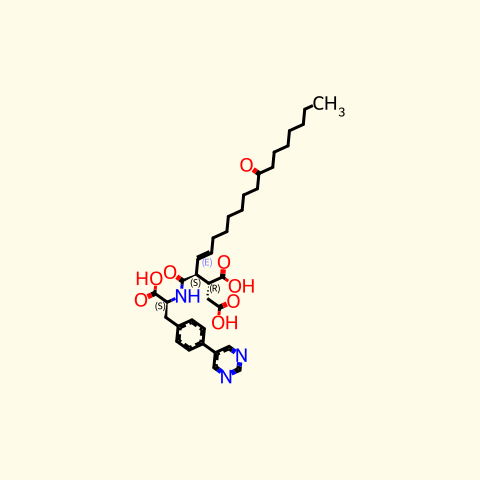 CCCCCCCC(=O)CCCCCC/C=C/[C@H](C(=O)N[C@@H](Cc1ccc(-c2cncnc2)cc1)C(=O)O)[C@@H](CC(=O)O)C(=O)O